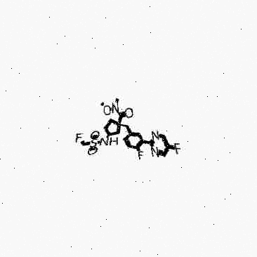 CON(C)C(=O)[C@@]1(Cc2ccc(F)c(-c3ncc(F)cn3)c2)CC[C@H](NS(=O)(=O)CF)C1